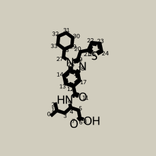 CC(C)CC(CC(=O)O)NC(=O)c1ccc2c(c1)nc(Cc1cccs1)n2CC1CCCCC1